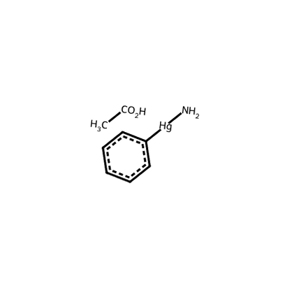 CC(=O)O.[NH2][Hg][c]1ccccc1